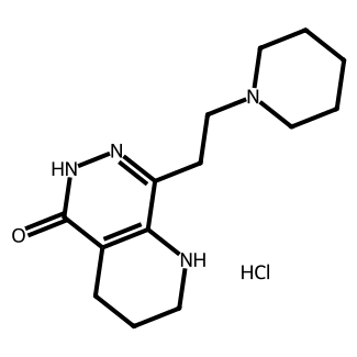 Cl.O=c1[nH]nc(CCN2CCCCC2)c2c1CCCN2